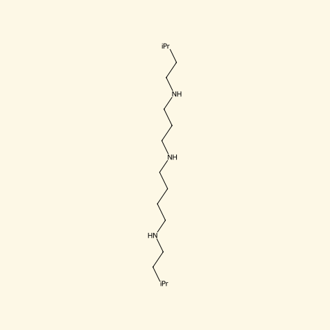 CC(C)CCNCCCCNCCCNCCC(C)C